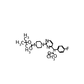 COC(=O)[C@@H](c1ccc(F)cc1)c1ccnc(N2CCN(C(=O)OC(C)(C)C)CC2)n1